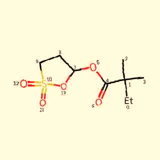 CCC(C)(C)C(=O)OC1CCS(=O)(=O)O1